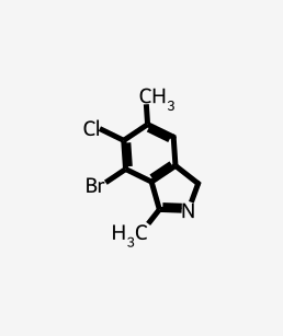 CC1=NCc2cc(C)c(Cl)c(Br)c21